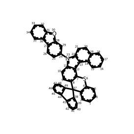 c1ccc2c(c1)Sc1c(ccc3c1c1c4ccccc4ccc1n3-c1ccc3c(c1)oc1ccccc13)C21c2ccccc2-c2ccccc21